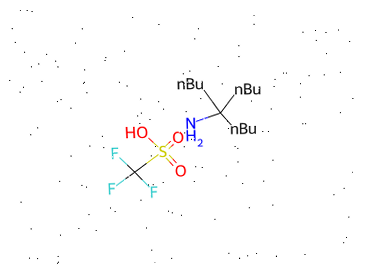 CCCCC(N)(CCCC)CCCC.O=S(=O)(O)C(F)(F)F